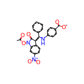 COC(=O)c1ccc(NC(=C2C(=O)N(OC(C)=O)c3cc([N+](=O)[O-])ccc32)c2ccccc2)cc1